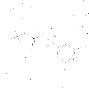 CC(C)(C)OC(=O)NS(=O)(=O)c1cc(Cl)ccn1